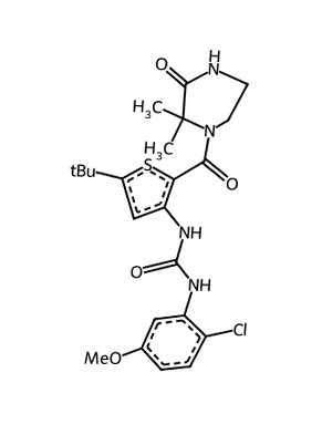 COc1ccc(Cl)c(NC(=O)Nc2cc(C(C)(C)C)sc2C(=O)N2CCNC(=O)C2(C)C)c1